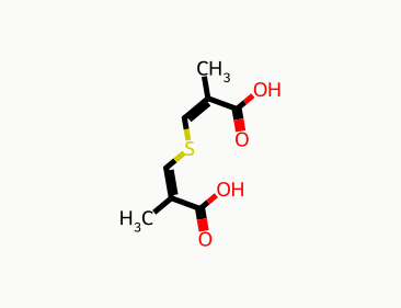 CC(=CSC=C(C)C(=O)O)C(=O)O